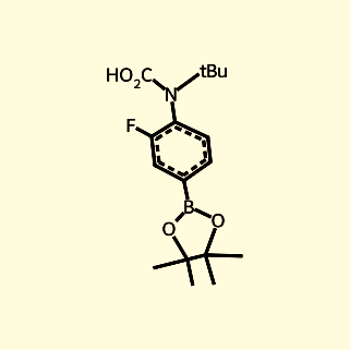 CC(C)(C)N(C(=O)O)c1ccc(B2OC(C)(C)C(C)(C)O2)cc1F